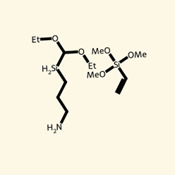 C=C[Si](OC)(OC)OC.CCOC(OCC)[SiH2]CCCN